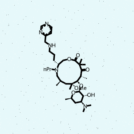 CCCN1C[C@H](C)C[C@@](C)(OC)[C@H](O[C@@H]2O[C@H](C)C[C@H](N(C)C)[C@H]2O)[C@@H](C)C(=O)C(C)(C)C(=O)OC[C@H]1CCCNCc1ccncn1